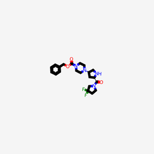 O=C(OCc1ccccc1)N1CCN([C@@H]2CN[C@H](C(=O)N3CCC(F)(F)C3)C2)CC1